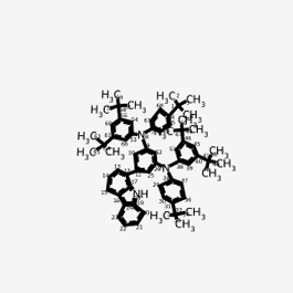 CC(C)(C)c1ccc(N(c2cc(-c3cccc4c3[nH]c3ccccc34)cc(N(c3ccc(C(C)(C)C)cc3)c3cc(C(C)(C)C)cc(C(C)(C)C)c3)c2)c2cc(C(C)(C)C)cc(C(C)(C)C)c2)cc1